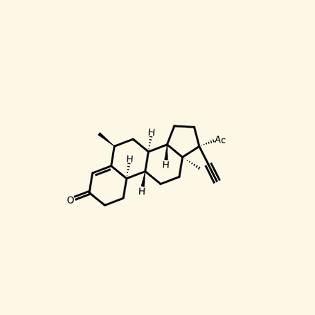 C#C[C@]1(C(C)=O)CC[C@H]2[C@@H]3C[C@H](C)C4=CC(=O)CC[C@@H]4[C@H]3CC[C@@]21C